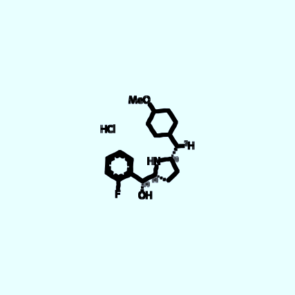 Cl.[2H]C(C1CCC(OC)CC1)[C@@H]1CC[C@H]([C@H](O)c2ccccc2F)N1